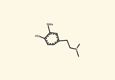 CNc1cc(CCN(C)C)ccc1O